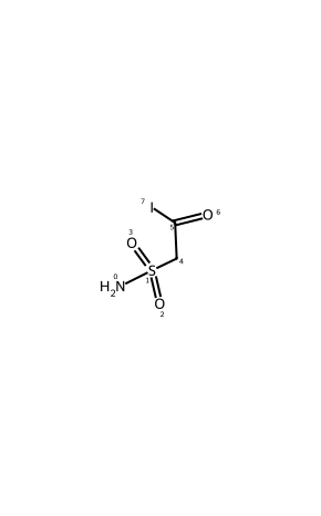 NS(=O)(=O)CC(=O)I